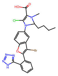 CCCCC1N(C)C(C(=O)O)=C(Cl)N1c1ccc2oc(-c3ccccc3-c3nnn[nH]3)c(Br)c2c1